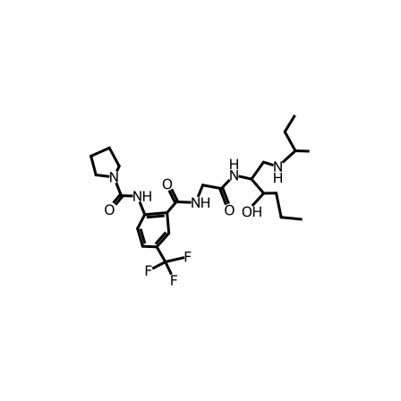 CCCC(O)C(CNC(C)CC)NC(=O)CNC(=O)c1cc(C(F)(F)F)ccc1NC(=O)N1CCCC1